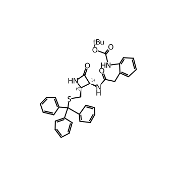 CC(C)(C)OC(=O)Nc1ccccc1CC(=O)N[C@@H]1C(=O)N[C@@H]1CSC(c1ccccc1)(c1ccccc1)c1ccccc1